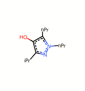 CCCc1c(O)c(C(C)C)nn1CCC